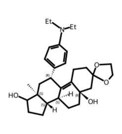 CCN(CC)c1ccc([C@H]2C[C@]3(C)C(O)CC[C@H]3[C@@H]3CC[C@@]4(O)CC5(CCC4=C32)OCCO5)cc1